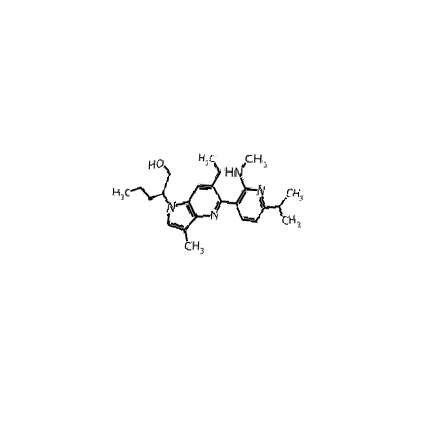 CCC[C@@H](CO)n1cc(C)c2nc(-c3ccc(C(C)C)nc3NC)c(CC)cc21